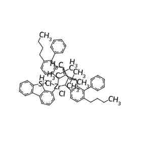 CCCCc1ccc2c(c1-c1ccccc1)C=C(C(C)(C)C)[CH]2[Zr]([Cl])([Cl])([c]1cccc2c1[SiH2]c1ccccc1-2)[CH]1C(C(C)(C)C)=Cc2c1ccc(CCCC)c2-c1ccccc1